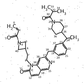 C=CC(=O)N1CC(CCn2c(=O)ccc3cnc(Cc4cccc(C(C)C5CCN(C(=O)C(C)C)CC5)c4)cc32)C1